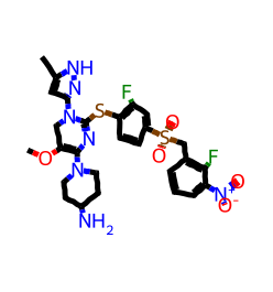 COC1=C(N2CCC(N)CC2)N=C(Sc2ccc(S(=O)(=O)Cc3cccc([N+](=O)[O-])c3F)cc2F)N(c2cc(C)[nH]n2)C1